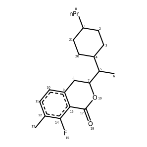 CCCC1CCC(C(C)C2Cc3ccc(C)c(F)c3C(=O)O2)CC1